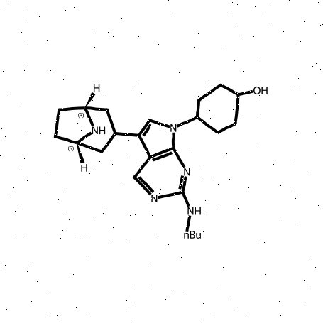 CCCCNc1ncc2c(C3C[C@H]4CC[C@@H](C3)N4)cn(C3CCC(O)CC3)c2n1